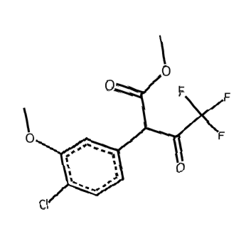 COC(=O)C(C(=O)C(F)(F)F)c1ccc(Cl)c(OC)c1